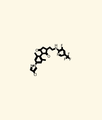 Cc1cc(-n2cc(Cl)cn2)cc(C)c1C1C(=O)CC(CCNc2ncc(C(F)(F)F)cc2F)C1=O